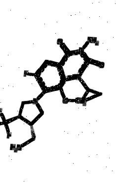 COc1c(N2C[C@H](CN)[C@@H](C(F)(F)F)C2)c(F)cc2c(=O)n(N)c(=O)n(C3CC3)c12